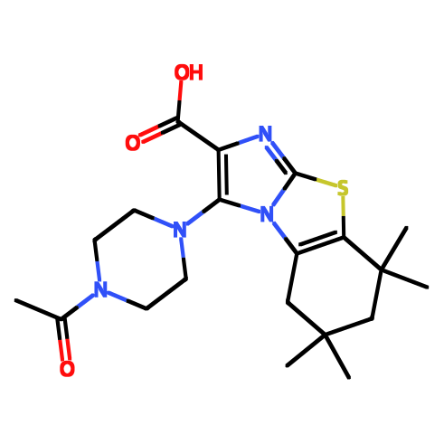 CC(=O)N1CCN(c2c(C(=O)O)nc3sc4c(n23)CC(C)(C)CC4(C)C)CC1